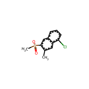 Cc1cc2c(Cl)cccc2cc1S(C)(=O)=O